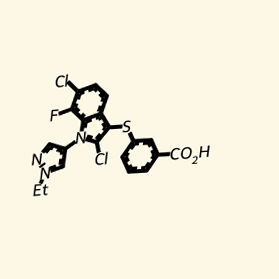 CCn1cc(-n2c(Cl)c(Sc3cccc(C(=O)O)c3)c3ccc(Cl)c(F)c32)cn1